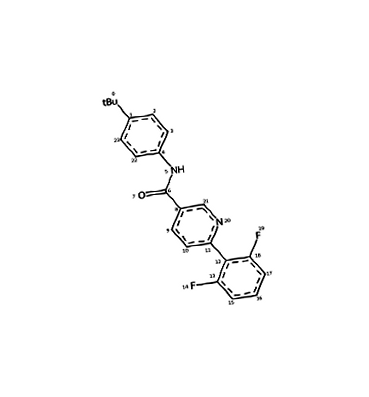 CC(C)(C)c1ccc(NC(=O)c2ccc(-c3c(F)cccc3F)nc2)cc1